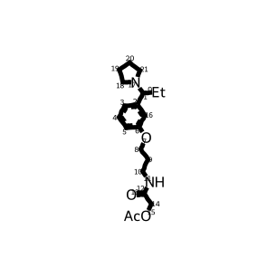 CCC(c1cccc(OCCCNC(=O)COC(C)=O)c1)N1CCCC1